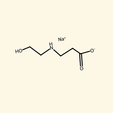 O=C([O-])CCNCCO.[Na+]